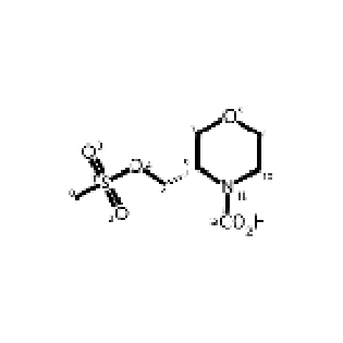 CS(=O)(=O)OC[C@@H]1COCCN1C(=O)O